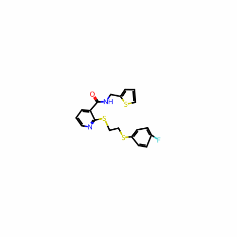 O=C(NCc1cccs1)c1cccnc1SCCSc1ccc(F)cc1